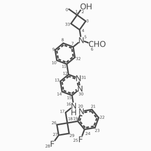 CC1(O)CC(N(C=O)c2cccc(-c3ccc(NCC4(c5ncccc5F)CC(F)C4)nn3)c2)C1